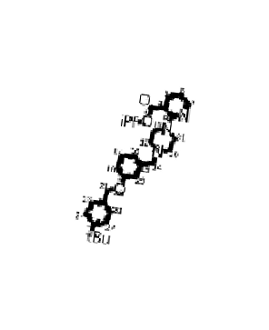 CC(C)OC(=O)c1cccnc1N1CCN(Cc2cccc(OCc3ccc(C(C)(C)C)cc3)c2)CC1